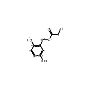 O=C(CCl)OPc1cc(O)ccc1O